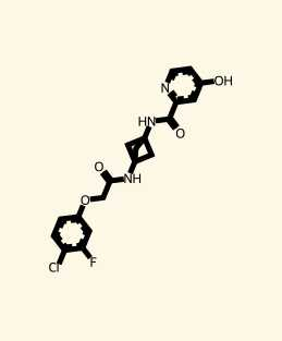 O=C(COc1ccc(Cl)c(F)c1)NC12CC(NC(=O)c3cc(O)ccn3)(C1)C2